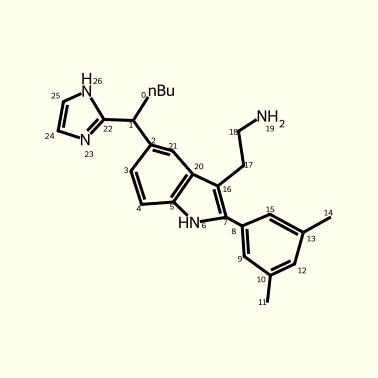 CCCCC(c1ccc2[nH]c(-c3cc(C)cc(C)c3)c(CCN)c2c1)c1ncc[nH]1